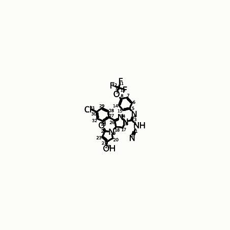 N#CNC(=Nc1ccc(OC(F)(F)F)cc1)N1CC(N2CC(O)=CC2=O)C(c2ccc(Cl)cc2)=N1